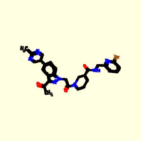 CC(=O)c1nn(CC(=O)N2CCCC(C(=O)NCc3cccc(Br)n3)C2)c2ccc(-c3cnc(C)nc3)cc12